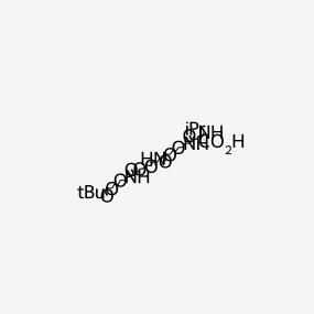 CC(C)N[C@@H](CCC(=O)NCCOCCOCC(=O)NCCOCCOCC(=O)NCCOCCOCC(=O)C(C)(C)C)C(=O)O